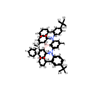 Cc1cc2c3c(c1)N(c1ccc(C(C)(C)C)cc1-c1ccccc1)c1cccc4c1B3c1c(cccc1[Si]4(C)c1ccccc1)N2c1ccc(C(C)(C)C)cc1-c1ccccc1